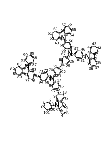 c1ccc(-n2c3ccccc3c3ccc(-c4ccc(N(c5ccc(-c6ccc(N(c7ccc(-n8c9ccccc9c9ccccc98)cc7)c7ccc(-n8c9ccccc9c9ccccc98)cc7)cc6)cc5)c5ccc(-c6ccc7c8ccccc8n(-c8ccccc8)c7c6)cc5)cc4)cc32)cc1